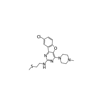 CSCCNc1nc(N2CCN(C)CC2)c2oc3ccc(Cl)cc3c2n1